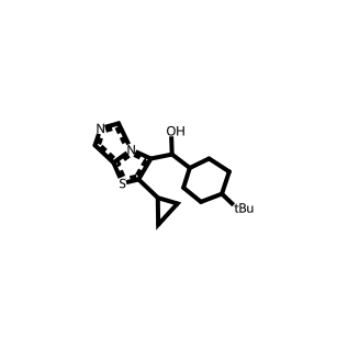 CC(C)(C)C1CCC(C(O)c2c(C3CC3)sc3cncn23)CC1